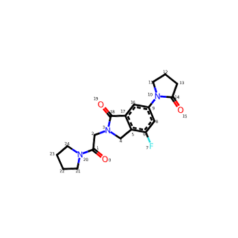 O=C(CN1Cc2c(F)cc(N3CCCC3=O)cc2C1=O)N1CCCC1